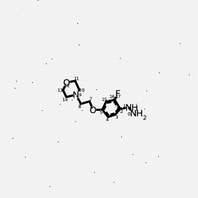 NNc1ccc(OCCN2CCOCC2)cc1F